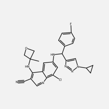 CC1(Nc2c(C#N)cnc3c(Cl)cc(NC(c4ccc(F)cc4)c4cn(C5CC5)nn4)cc23)COC1